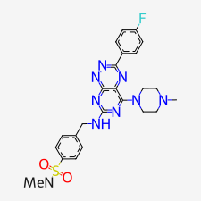 CNS(=O)(=O)c1ccc(CNc2nc(N3CCN(C)CC3)c3nc(-c4ccc(F)cc4)nnc3n2)cc1